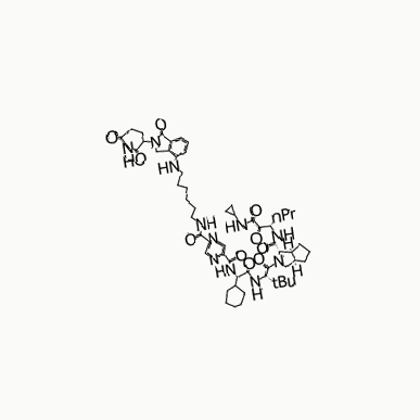 CCC[C@H](NC(=O)[C@@H]1[C@H]2CCC[C@H]2CN1C(=O)[C@@H](NC(=O)[C@@H](NC(=O)c1cnc(C(=O)NCCCCCCNc2cccc3c2CN(C2CCC(=O)NC2=O)C3=O)cn1)C1CCCCC1)C(C)(C)C)C(=O)C(=O)NC1CC1